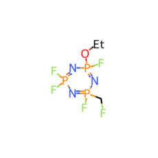 CCOP1(F)=NP(F)(CF)=NP(F)(F)=N1